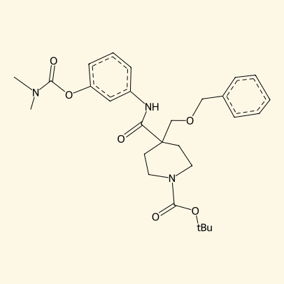 CN(C)C(=O)Oc1cccc(NC(=O)C2(COCc3ccccc3)CCN(C(=O)OC(C)(C)C)CC2)c1